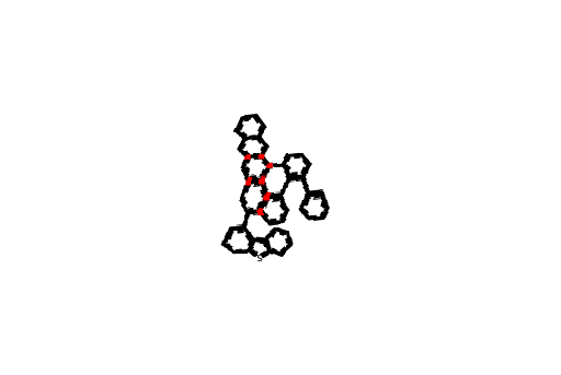 c1ccc(-c2ccccc2-c2c(-c3ccccc3)cccc2N(c2ccc(-c3cccc4sc5ccccc5c34)cc2)c2ccc3ccccc3c2)cc1